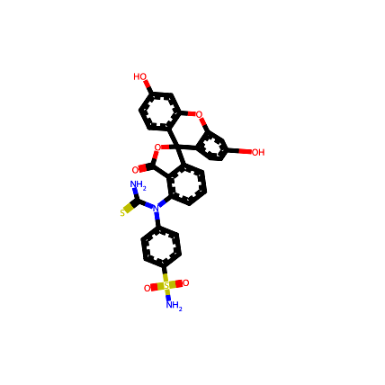 NC(=S)N(c1ccc(S(N)(=O)=O)cc1)c1cccc2c1C(=O)OC21c2ccc(O)cc2Oc2cc(O)ccc21